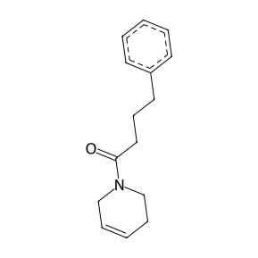 O=C(CCCc1ccccc1)N1CC=CCC1